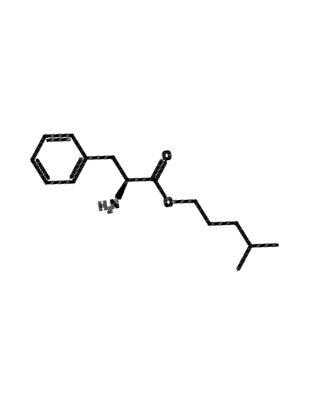 CC(C)CCCOC(=O)[C@@H](N)Cc1ccccc1